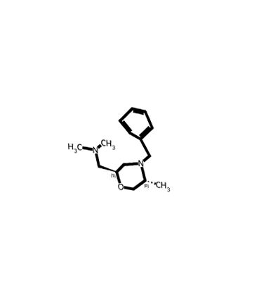 C[C@@H]1CO[C@@H](CN(C)C)CN1Cc1ccccc1